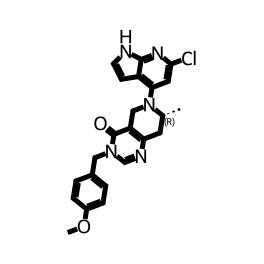 COc1ccc(Cn2cnc3c(c2=O)CN(c2cc(Cl)nc4[nH]ccc24)[C@H](C)C3)cc1